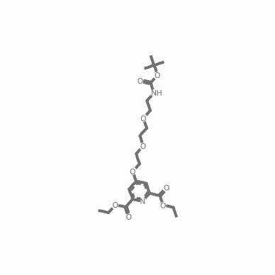 CCOC(=O)c1cc(OCCOCCOCCNC(=O)OC(C)(C)C)cc(C(=O)OCC)n1